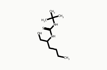 CCCCC(CO)NC(=S)NC(C)(C)C